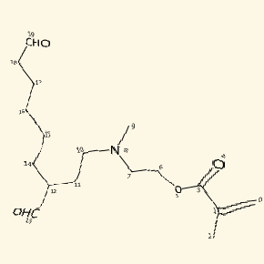 C=C(C)C(=O)OCCN(C)CCC(C=O)CCCCCC=O